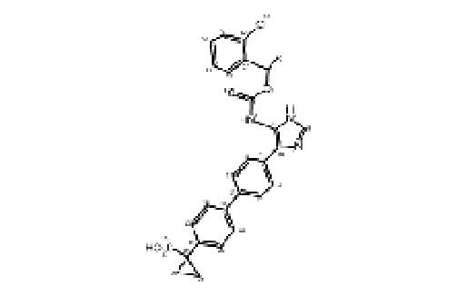 CC(OC(=O)Nc1[nH]cnc1-c1ccc(-c2ccc(C3(C(=O)O)CC3)cc2)cc1)c1ccccc1Cl